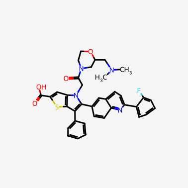 CN(C)CC1CN(C(=O)Cn2c(-c3ccc4nc(-c5ccccc5F)ccc4c3)c(-c3ccccc3)c3sc(C(=O)O)cc32)CCO1